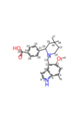 COc1cc(C)c2[nH]ccc2c1CN1CCC(C)(C)CC1c1ccc(C(=O)O)cc1